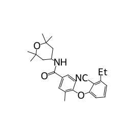 CCc1cccc(Oc2ccc(C(=O)NC3CC(C)(C)OC(C)(C)C3)cc2C)c1C#N